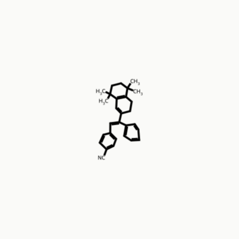 CC1(C)CCC(C)(C)C2=C1C=C(C(=Cc1ccc(C#N)cc1)c1ccccc1)CC2